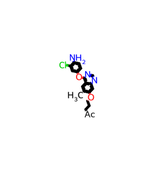 CC(=O)CCCOc1cc2ncnc(Oc3ccc(N)c(Cl)c3)c2cc1C